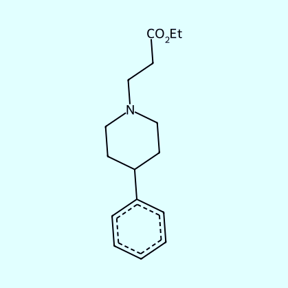 CCOC(=O)CCN1CCC(c2ccccc2)CC1